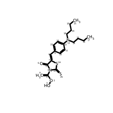 C=C(OO)N1C(=O)/C(=C/c2ccc(N(CCCC)CCCC)cc2)SC1=S